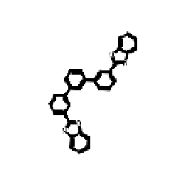 c1cc(-c2cccc(-c3nc4ccccc4o3)c2)cc(-c2cccc(-c3nc4ccccc4o3)c2)c1